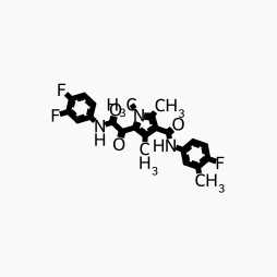 Cc1cc(NC(=O)c2c(C)c(C(=O)C(=O)Nc3ccc(F)c(F)c3)n(C)c2C)ccc1F